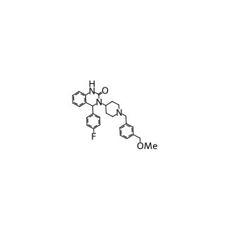 COCc1cccc(CN2CCC(N3C(=O)Nc4ccccc4C3c3ccc(F)cc3)CC2)c1